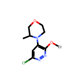 CCOc1nnc(Cl)cc1N1CCOCC1C